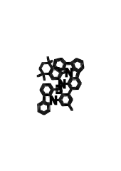 Cc1cc2c3c(c1)-n1c4ccccc4c4cccc(c41)B3N(c1cc3c(cc1C)C(C)(C)CCC3(C)C)c1c-2ccc2c3cccc4c5ccccc5n(c12)c43